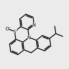 CC(C)c1ccc2c(c1)N1c3ncccc3[S+]([O-])c3cccc(c31)C2